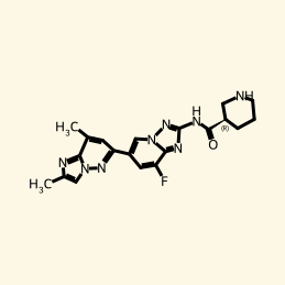 Cc1cn2nc(-c3cc(F)c4nc(NC(=O)[C@@H]5CCCNC5)nn4c3)cc(C)c2n1